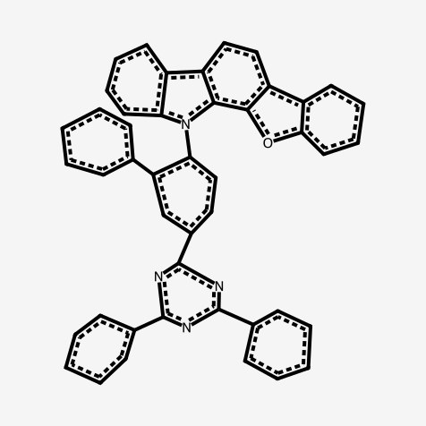 c1ccc(-c2nc(-c3ccccc3)nc(-c3ccc(-n4c5ccccc5c5ccc6c7ccccc7oc6c54)c(-c4ccccc4)c3)n2)cc1